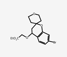 CCOC(=O)COC1CC2(CCOCC2)Oc2cc(Br)ccc21